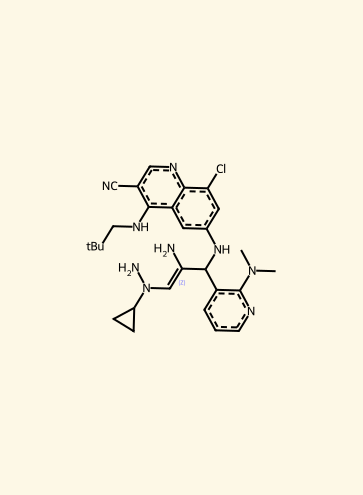 CN(C)c1ncccc1C(Nc1cc(Cl)c2ncc(C#N)c(NCC(C)(C)C)c2c1)/C(N)=C/N(N)C1CC1